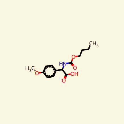 CCCCOC(=O)NC(C(=O)O)c1ccc(OC)cc1